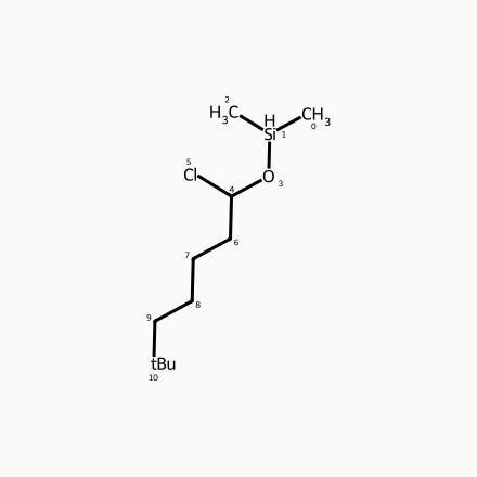 C[SiH](C)OC(Cl)CCCCC(C)(C)C